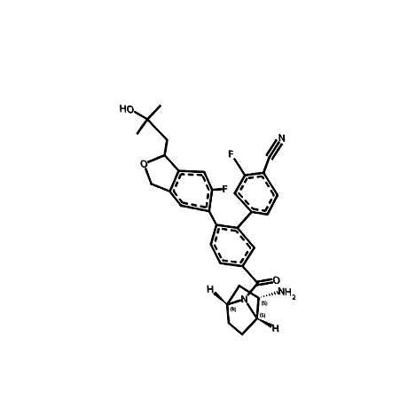 CC(C)(O)CC1OCc2cc(-c3ccc(C(=O)N4[C@@H]5CC[C@H]4[C@@H](N)C5)cc3-c3ccc(C#N)c(F)c3)c(F)cc21